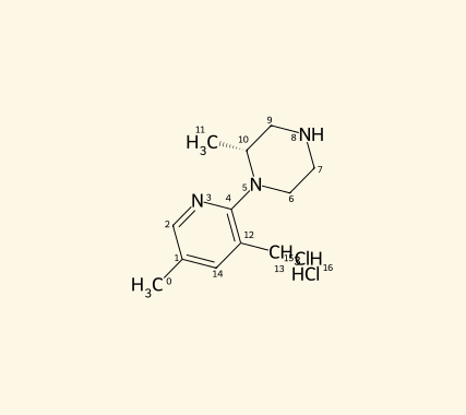 Cc1cnc(N2CCNC[C@H]2C)c(C)c1.Cl.Cl